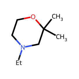 CCN1CCOC(C)(C)C1